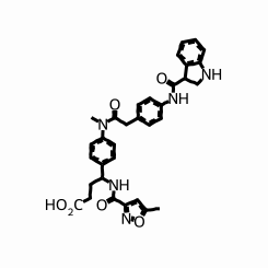 Cc1cc(C(=O)NC(CCC(=O)O)c2ccc(N(C)C(=O)Cc3ccc(NC(=O)C4CNc5ccccc54)cc3)cc2)no1